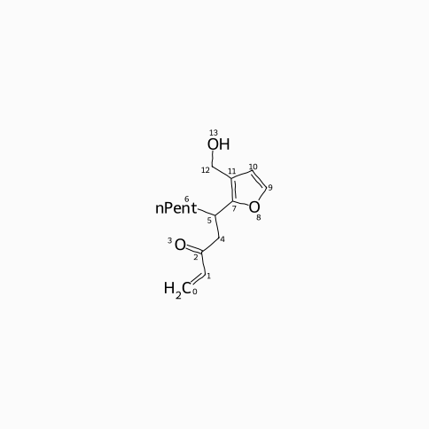 C=CC(=O)CC(CCCCC)c1occc1CO